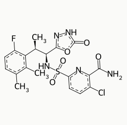 Cc1ccc(F)c([C@@H](C)[C@H](NS(=O)(=O)c2ccc(Cl)c(C(N)=O)n2)c2n[nH]c(=O)o2)c1C